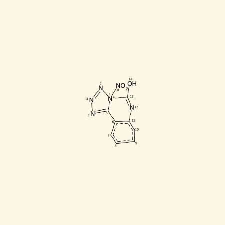 O=[N+]([O-])[N+]12N=NN=C1c1ccccc1N=C2O